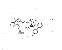 C[N+]1=C(/C=C/C=C/C=C2\N(CCOC=O)c3ccccc3C2(C)C)C(C)(C)c2c1c1ccccc1c1ccccc21